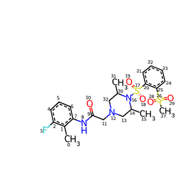 Cc1c(F)cccc1NC(=O)CN1CC(C)N(S(=O)(=O)c2ccccc2S(C)(=O)=O)C(C)C1